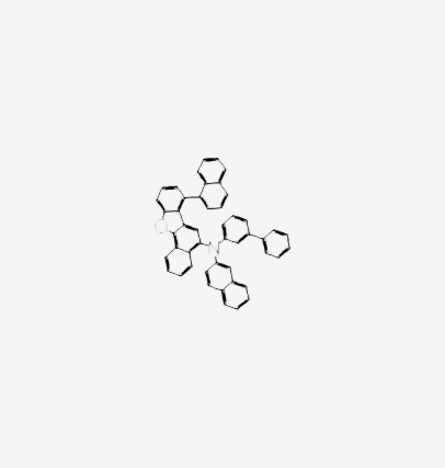 c1ccc(-c2cccc(N(c3ccc4ccccc4c3)c3cc4c(oc5cccc(-c6cccc7ccccc67)c54)c4ccccc34)c2)cc1